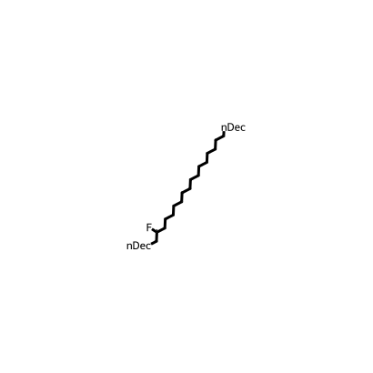 CCCCCCCCCCCCCCCCCCCCCCCCC[C](F)CCCCCCCCCCC